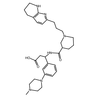 CN1CCN(c2cccc(C(CC(=O)O)NC(=O)C3CCCN(CCCc4ccc5c(n4)NCCC5)C3)c2)CC1